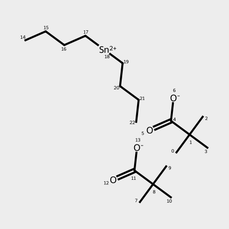 CC(C)(C)C(=O)[O-].CC(C)(C)C(=O)[O-].CCC[CH2][Sn+2][CH2]CCC